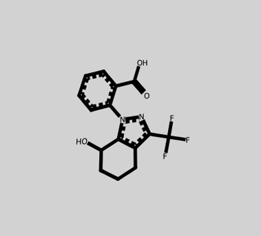 O=C(O)c1ccccc1-n1nc(C(F)(F)F)c2c1C(O)CCC2